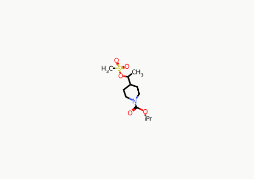 CC(C)OC(=O)N1CCC(C(C)OS(C)(=O)=O)CC1